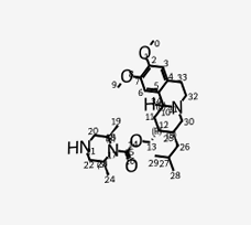 COc1cc2c(cc1OC)[C@H]1C[C@@H](COC(=O)N3[C@H](C)CNC[C@@H]3C)[C@H](CC(C)C)CN1CC2